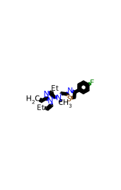 C=Cc1nc(CC)c(N(C)CC2=NC(c3ccc(F)cc3)CS2)n1/C=C\CC